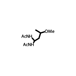 COC(C)CC(NC(C)=O)NC(C)=O